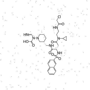 N=CN(C(=O)O)N1CCC[C@H](CNC(=O)[C@H](CC(=O)N(CCNC(=O)CCl)C2CC2)NS(=O)(=O)c2ccc3ccccc3c2)C1